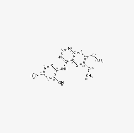 COc1cc2ncnc(Nc3ccc(C)cc3O)c2cc1OC